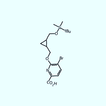 CC(C)(C)[Si](C)(C)OCC1CC1COc1nc(C(=O)O)ccc1Br